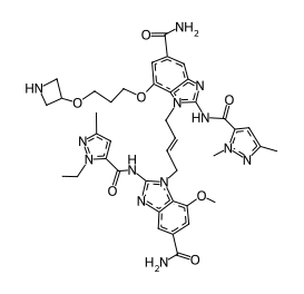 CCn1nc(C)cc1C(=O)Nc1nc2cc(C(N)=O)cc(OC)c2n1C/C=C/Cn1c(NC(=O)c2cc(C)nn2C)nc2cc(C(N)=O)cc(OCCCOC3CNC3)c21